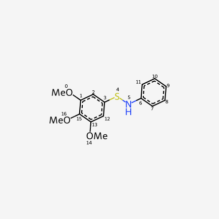 COc1cc(SNc2ccccc2)cc(OC)c1OC